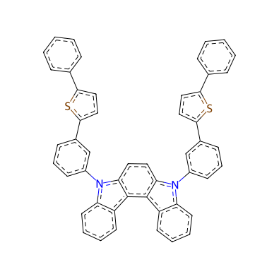 c1ccc(-c2ccc(-c3cccc(-n4c5ccccc5c5c6c7ccccc7n(-c7cccc(-c8ccc(-c9ccccc9)s8)c7)c6ccc54)c3)s2)cc1